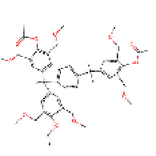 CCOc1c(COC)cc(C(C)(c2ccc(C(C)(C)c3cc(COC)c(OC(C)=O)c(COC)c3)cc2)c2cc(COC)c(OC(C)=O)c(COC)c2)cc1COC